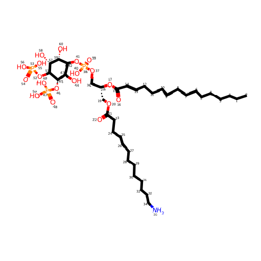 CCCCCCCCCCCCCCCC(=O)O[C@H](COC(=O)CCCCCCCCCCCCN)COP(=O)(O)OC1C(O)[C@H](OP(=O)(O)O)C(OP(=O)(O)O)[C@H](O)[C@@H]1O